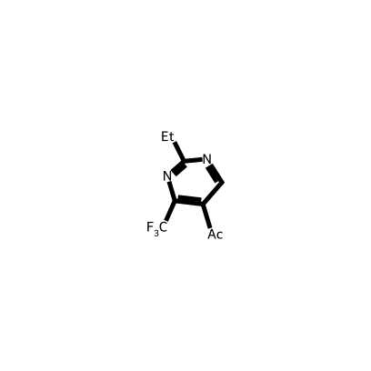 CCc1ncc(C(C)=O)c(C(F)(F)F)n1